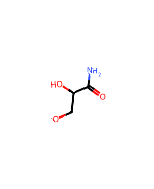 NC(=O)C(O)C[O]